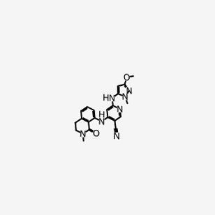 COc1cc(Nc2cc(Nc3cccc4c3C(=O)N(C)CC4)c(C#N)cn2)n(C)n1